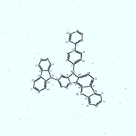 c1ccc(-c2ccc(-n3c4cc(-n5c6ccccc6c6ccccc65)ccc4c4c5sc6ccccc6c5ccc43)cc2)cc1